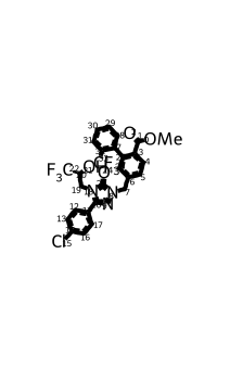 COC(=O)c1ccc(Cn2nc(-c3ccc(Cl)cc3)n(C[C@H](O)C(F)(F)F)c2=O)cc1-c1ccccc1C(F)(F)F